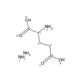 N.N.NC(CCC(=O)O)C(=O)O